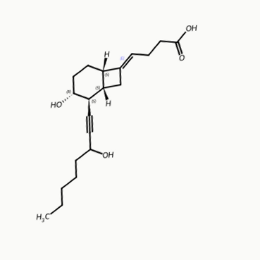 CCCCCC(O)C#C[C@@H]1[C@H]2C/C(=C\CCC(=O)O)[C@H]2CC[C@H]1O